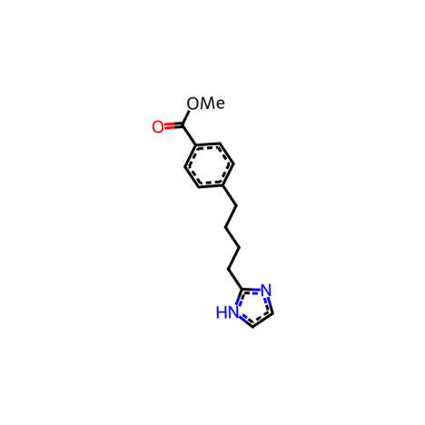 COC(=O)c1ccc(CCCCc2ncc[nH]2)cc1